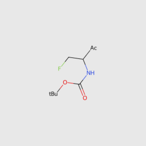 CC(=O)C(CF)NC(=O)OC(C)(C)C